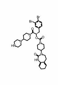 O=C(O[C@H](Cc1ccc(Br)c(Br)c1)C(=O)N1CCC(N2CCNCC2)CC1)N1CCC(N2CCC3=CCCC=C3NC2=O)CC1